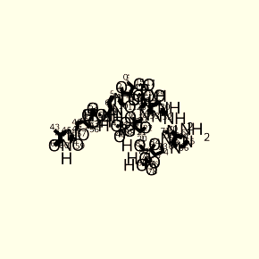 C[C@H]1O[C@@H](n2ccc(N)nc2=O)[C@H](O)[C@@H]1OP(=O)(O)O.C[C@H]1O[C@@H](n2cnc3c(=O)[nH]c(N)nc32)[C@H](O)[C@@H]1OP(=O)(O)O.Cc1cn([C@H]2C[C@H](OP(=O)(O)O)[C@@H](C)O2)c(=O)[nH]c1=O.Nc1ncnc2c1ncn2[C@H]1C[C@H](OP(=O)(O)O)[C@@H](CO)O1